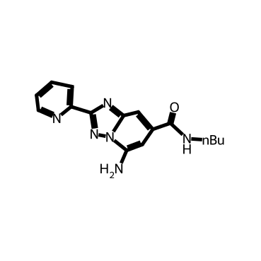 CCCCNC(=O)c1cc(N)n2nc(-c3ccccn3)nc2c1